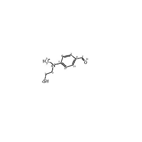 CN(CCS)c1ccc(C=O)cc1